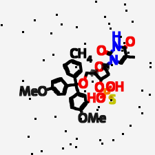 C.COc1ccc(C(OC[C@H]2O[C@@H](n3cc(C)c(=O)[nH]c3=O)CC2OP(O)(O)=S)(c2ccccc2)c2ccc(OC)cc2)cc1